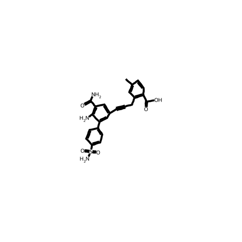 Cc1ccc(C(=O)O)c(CC#Cc2cc(C(N)=O)c(N)c(-c3ccc(S(N)(=O)=O)cc3)c2)c1